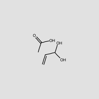 C=CC(O)O.CC(=O)O